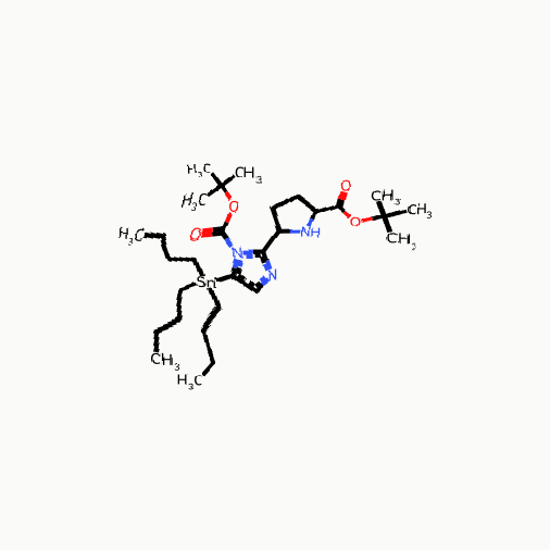 CCC[CH2][Sn]([CH2]CCC)([CH2]CCC)[c]1cnc(C2CCC(C(=O)OC(C)(C)C)N2)n1C(=O)OC(C)(C)C